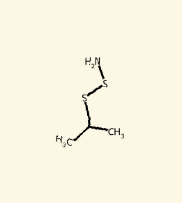 CC(C)SSN